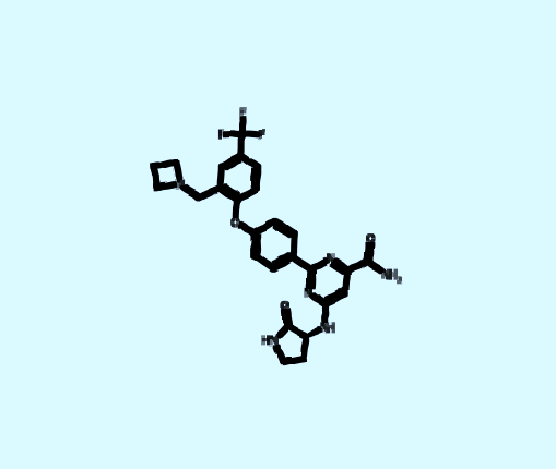 NC(=O)c1cc(N[C@H]2CCNC2=O)nc(-c2ccc(Oc3ccc(C(F)(F)F)cc3CN3CCC3)cc2)n1